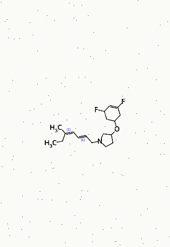 CC/C(C)=C\C=C\CN1CCC(OC2CC(F)=CC(F)C2)C1